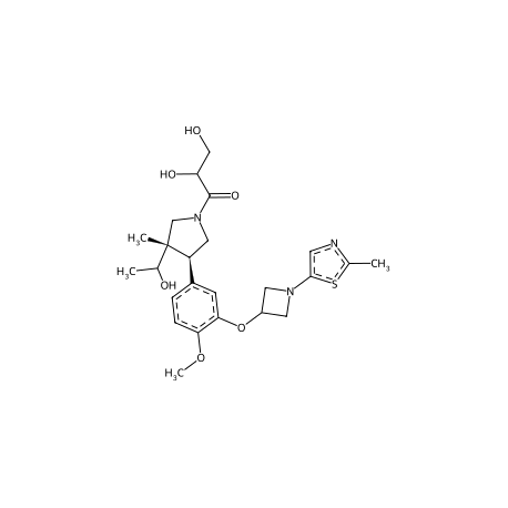 COc1ccc([C@@H]2CN(C(=O)C(O)CO)C[C@@]2(C)C(C)O)cc1OC1CN(c2cnc(C)s2)C1